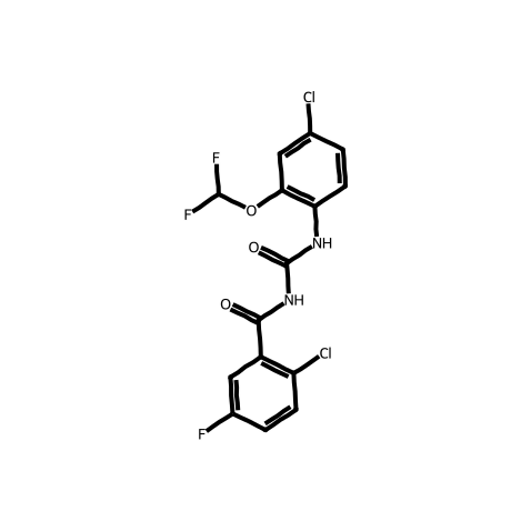 O=C(NC(=O)c1cc(F)ccc1Cl)Nc1ccc(Cl)cc1OC(F)F